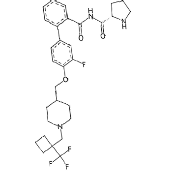 O=C(NC(=O)[C@@H]1CCCN1)c1ccccc1-c1ccc(OCC2CCN(CC3(C(F)(F)F)CCC3)CC2)c(F)c1